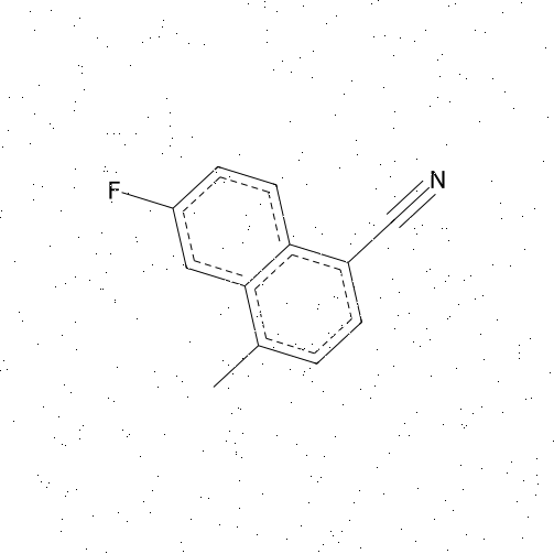 Cc1ccc(C#N)c2ccc(F)cc12